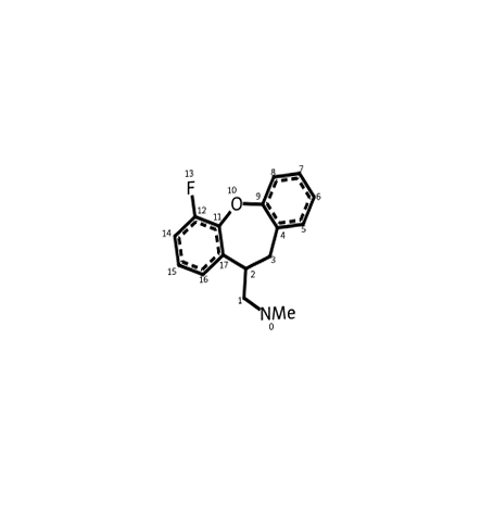 CNCC1Cc2ccccc2Oc2c(F)cccc21